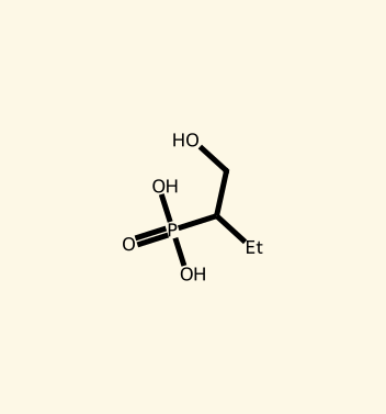 CCC(CO)P(=O)(O)O